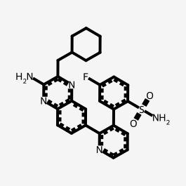 Nc1nc2ccc(-c3ncccc3-c3cc(F)ccc3S(N)(=O)=O)cc2nc1CC1CCCCC1